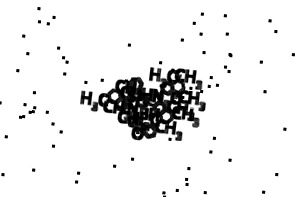 Cc1cc2c(cc1N1c3ccc4oc5ccccc5c4c3Bc3c(-c4cc5c(cc4Nc4ccc6c(c4)C(C)(C)CCC6(C)C)C(C)(C)CCC5(C)C)cc4c(sc5ccccc54)c31)C(C)(C)CCC2(C)C